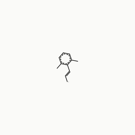 [CH2]C=Cc1c(C)cccc1C